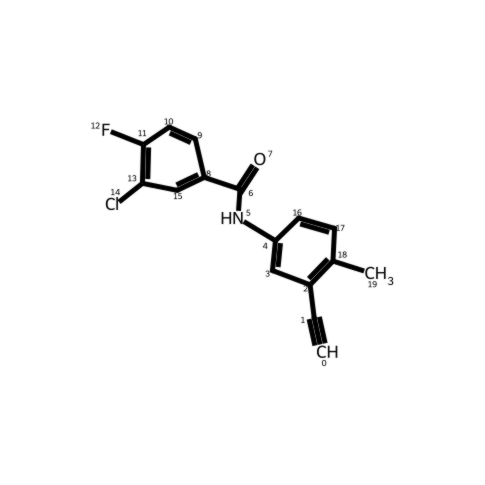 C#Cc1cc(NC(=O)c2ccc(F)c(Cl)c2)ccc1C